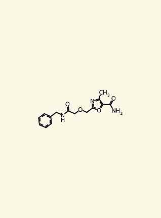 Cc1nc(COCC(=O)NCc2ccccc2)oc1C(N)=O